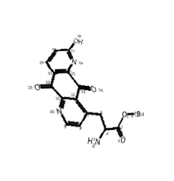 CC(C)(C)OC(=O)C(N)Cc1ccnc2c1C(=O)c1nc(O)ccc1C2=O